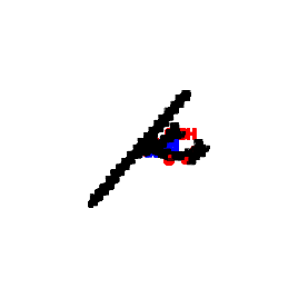 CCCCCCCCCCCCCCCCCCC(CCCCCCCCCCCCCCCCC)OC(=O)N[C@H](CCC(=O)NCCOC(C)(C)COC(C)(C)C)C(=O)NCCOC(C)CO